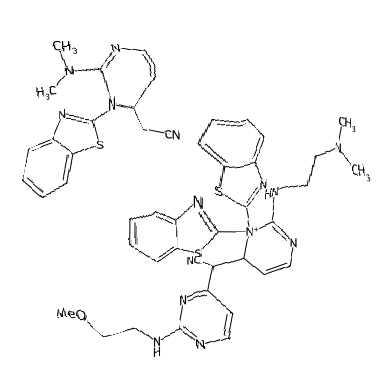 CN(C)C1=NC=CC(CC#N)N1c1nc2ccccc2s1.COCCNc1nccc(C(C#N)C2C=CN=C(NCCN(C)C)[N+]2(c2nc3ccccc3s2)c2nc3ccccc3s2)n1